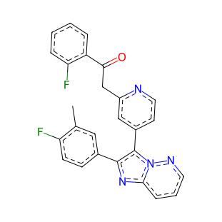 Cc1cc(-c2nc3cccnn3c2-c2ccnc(CC(=O)c3ccccc3F)c2)ccc1F